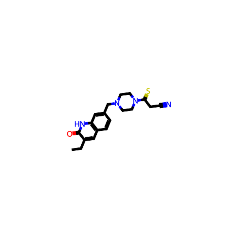 CCc1cc2ccc(CN3CCN(C(=S)CC#N)CC3)cc2[nH]c1=O